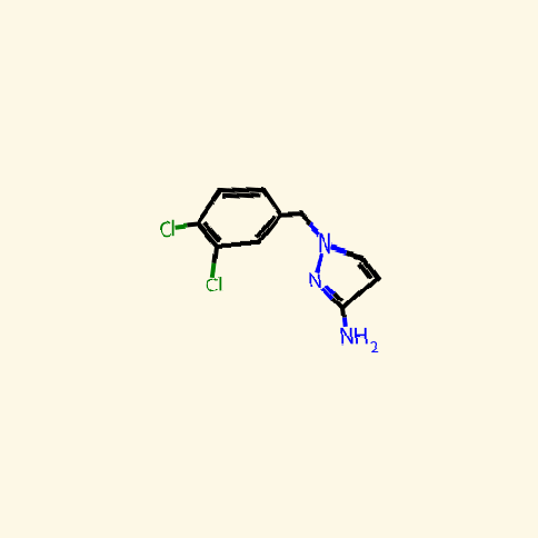 Nc1ccn(Cc2ccc(Cl)c(Cl)c2)n1